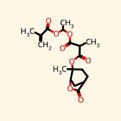 C=C(C)C(=O)OC(C)OC(=O)C(C)C(=O)OC1(C)CCC2CC1OC2=O